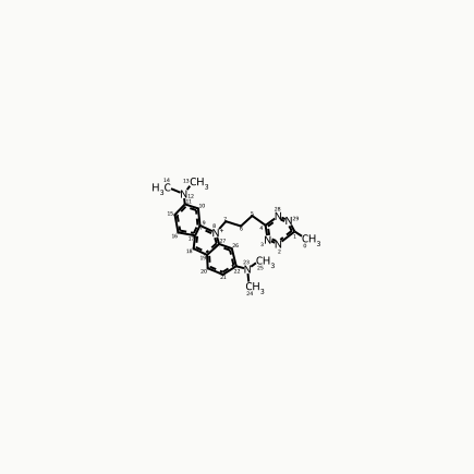 Cc1nnc(CCC[n+]2c3cc(N(C)C)ccc3cc3ccc(N(C)C)cc32)nn1